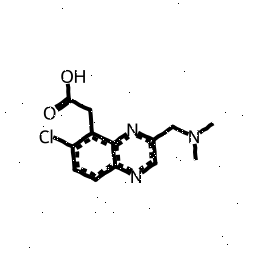 CN(C)Cc1cnc2ccc(Cl)c(CC(=O)O)c2n1